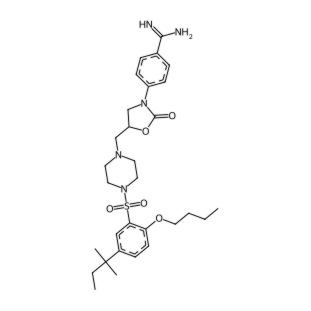 CCCCOc1ccc(C(C)(C)CC)cc1S(=O)(=O)N1CCN(CC2CN(c3ccc(C(=N)N)cc3)C(=O)O2)CC1